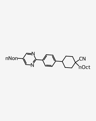 CCCCCCCCCc1cnc(-c2ccc(C3CCC(C#N)(CCCCCCCC)CC3)cc2)nc1